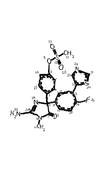 CN1C(=O)C(c2ccc(OS(C)(=O)=O)cc2)(c2ccc(F)c(-c3cncs3)c2)N=C1N